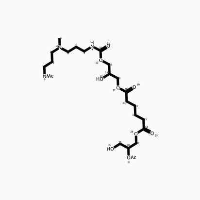 CNCCCN(C)CCCNC(=O)OCC(O)COC(=O)CCCCC(=O)OCC(CO)OC(C)=O